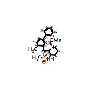 COC(=O)N1CCCC(NS(C)(=O)=O)C1Cc1cc(-c2ccccc2)ccc1C